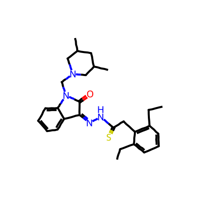 CCc1cccc(CC)c1CC(=S)N/N=C1\C(=O)N(CN2CC(C)CC(C)C2)c2ccccc21